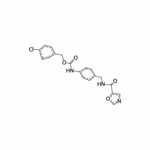 O=C(Nc1ccc(CNC(=O)c2cnco2)cc1)OCc1ccc(Cl)cc1